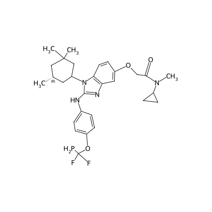 C[C@H]1CC(n2c(Nc3ccc(OC(F)(F)P)cc3)nc3cc(OCC(=O)N(C)C4CC4)ccc32)CC(C)(C)C1